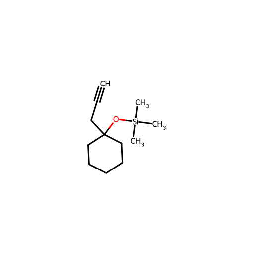 C#CCC1(O[Si](C)(C)C)CCCCC1